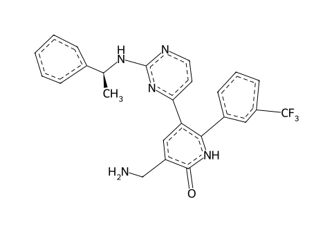 C[C@H](Nc1nccc(-c2cc(CN)c(=O)[nH]c2-c2cccc(C(F)(F)F)c2)n1)c1ccccc1